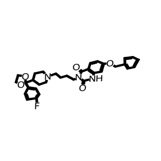 O=c1[nH]c2cc(OCc3ccccc3)ccc2c(=O)n1CCCCN1CCC(C2(c3ccc(F)cc3)OCCO2)CC1